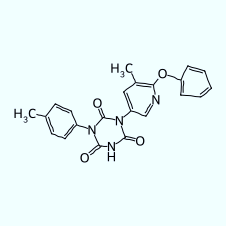 Cc1ccc(-n2c(=O)[nH]c(=O)n(-c3cnc(Oc4ccccc4)c(C)c3)c2=O)cc1